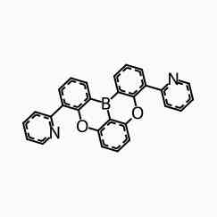 c1ccc(-c2cccc3c2Oc2cccc4c2B3c2cccc(-c3ccccn3)c2O4)nc1